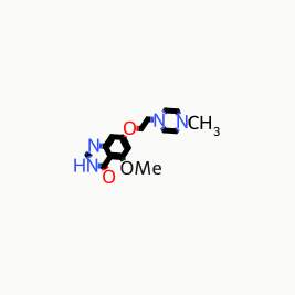 COc1cc(OCCN2CCN(C)CC2)cc2nc[nH]c(=O)c12